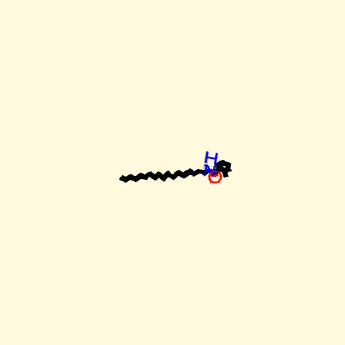 CCCCCCCCCCCCCCCCCCNC(=O)c1ccccc1C